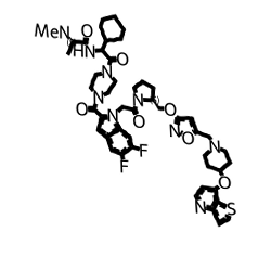 CN[C@@H](C)C(=O)NC(C(=O)N1CCN(C(=O)c2cc3cc(F)c(F)cc3n2CC(=O)N2CCC[C@H]2COc2cc(CN3CCC(Oc4ccnc5ccsc45)CC3)on2)CC1)C1CCCCC1